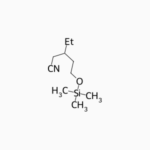 CCC(CC#N)CCO[Si](C)(C)C